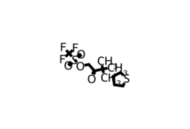 C1CCSC1.CC(C)(C)C(=O)COS(=O)(=O)C(F)(F)F